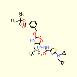 CC(C)C[C@H](NC(=O)OCc1cccc(C(=O)OC(C)(C)C)c1)C(=O)NNC(=O)c1csc(N(CC2CC2)C2CC2)n1